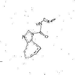 CONC(=O)n1cnc2ccccc21